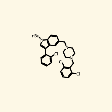 CCCCn1cc(-c2ccccc2Cl)c2cc(CN3CCN(Cc4c(Cl)cccc4Cl)CC3)ccc21